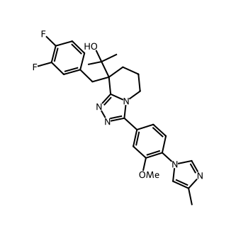 COc1cc(-c2nnc3n2CCCC3(Cc2ccc(F)c(F)c2)C(C)(C)O)ccc1-n1cnc(C)c1